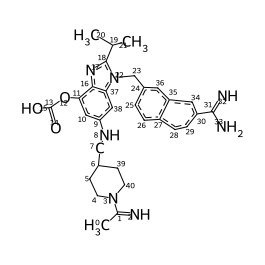 CC(=N)N1CCC(CNc2cc(OC(=O)O)c3nc(C(C)C)n(Cc4ccc5ccc(C(=N)N)cc5c4)c3c2)CC1